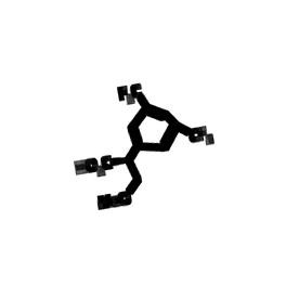 COC[C@@H](C(=O)O)c1cc(C(F)(F)F)cc(C(F)(F)F)c1